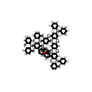 Fc1cccc(F)c1N(c1ccccc1)c1cc2c3c(c1)Sc1c(sc4ccccc14)B3c1cc3c(cc1O2)Oc1cc(N(c2ccccc2)c2ccccc2)cc2c1B3c1cc3c(cc1O2)N(c1c(F)cccc1F)c1cc(N(c2ccccc2)c2c(F)cccc2F)cc2c1B3c1sc3ccccc3c1O2